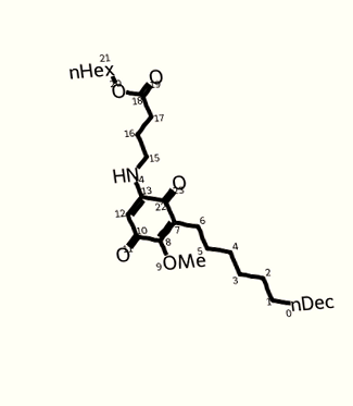 CCCCCCCCCCCCCCCCC1=C(OC)C(=O)C=C(NCCCC(=O)OCCCCCC)C1=O